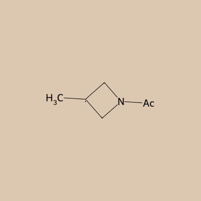 C[C]1CN(C(C)=O)C1